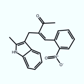 CC(=O)/C(=C\c1ccccc1[N+](=O)[O-])Cc1c(C)[nH]c2ccccc12